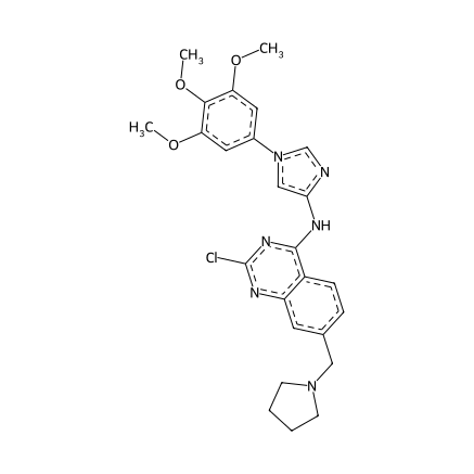 COc1cc(-n2cnc(Nc3nc(Cl)nc4cc(CN5CCCC5)ccc34)c2)cc(OC)c1OC